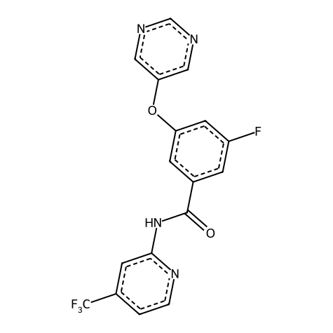 O=C(Nc1cc(C(F)(F)F)ccn1)c1cc(F)cc(Oc2cncnc2)c1